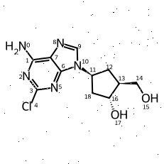 Nc1nc(Cl)nc2c1ncn2[C@H]1C[C@@H](CO)[C@H](O)C1